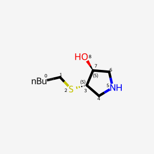 CCCCCS[C@H]1CNC[C@@H]1O